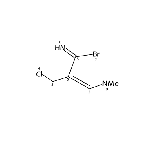 CN/C=C(/CCl)C(=N)Br